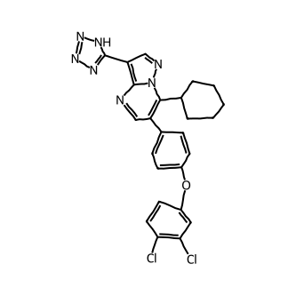 Clc1ccc(Oc2ccc(-c3cnc4c(-c5nnn[nH]5)cnn4c3C3CCCCC3)cc2)cc1Cl